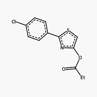 CCC(=O)Oc1csc(-c2ccc(Cl)cc2)n1